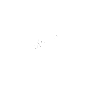 CN1CCN(CCCOc2ccc(-c3nc4cc(O)c(O)cc4[nH]3)c(Cl)c2)CC1